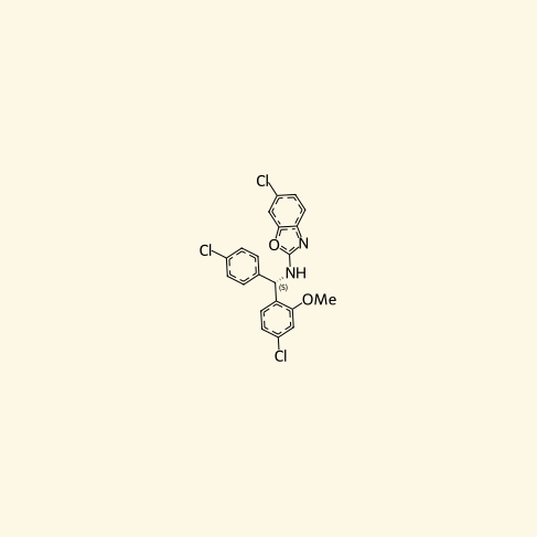 COc1cc(Cl)ccc1[C@@H](Nc1nc2ccc(Cl)cc2o1)c1ccc(Cl)cc1